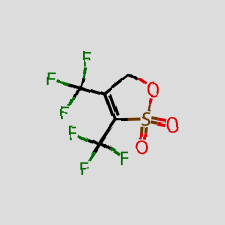 O=S1(=O)OCC(C(F)(F)F)=C1C(F)(F)F